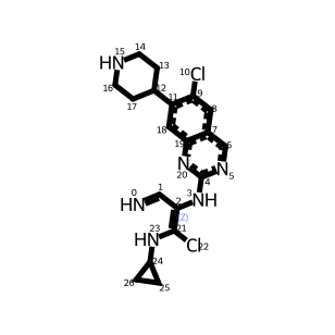 N=C/C(Nc1ncc2cc(Cl)c(C3CCNCC3)cc2n1)=C(/Cl)NC1CC1